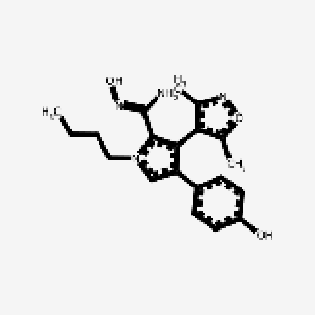 CCCCn1cc(-c2ccc(O)cc2)c(-c2c(C)noc2C)c1/C(N)=N/O